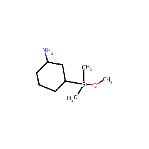 CO[Si](C)(C)C1CCCC(N)C1